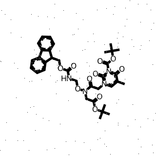 Cc1cn(CC(=O)N(CC(=O)OC(C)(C)C)OCNC(=O)OCC2c3ccccc3-c3ccccc32)c(=O)n(C(=O)OC(C)(C)C)c1=O